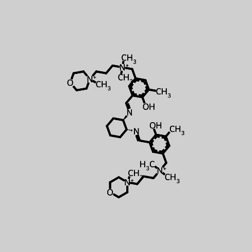 Cc1cc(C[N+](C)(C)CCC[N+]2(C)CCOCC2)cc(/C=N/[C@@H]2CCCC[C@H]2/N=C/c2cc(C[N+](C)(C)CCC[N+]3(C)CCOCC3)cc(C)c2O)c1O